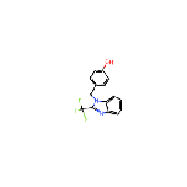 Oc1ccc(Cn2c(C(F)(F)F)nc3ccccc32)cc1